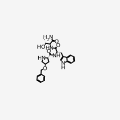 C[C@@H](O)[C@H](NC(=O)[C@H](Cc1c[nH]c2ccccc12)NC(=O)[C@@H]1C[C@@H](OCc2ccccc2)CN1)C(N)=O